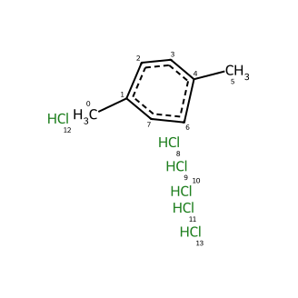 Cc1ccc(C)cc1.Cl.Cl.Cl.Cl.Cl.Cl